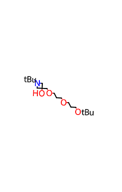 CC(C)(C)OCCCOCCCOCC1(O)CN(C(C)(C)C)C1